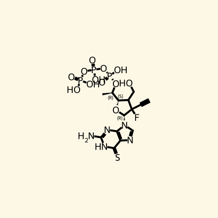 C#CC1(F)C(CO)[C@@H]([C@@H](C)OP(=O)(O)OP(=O)(O)OP(=O)(O)O)O[C@H]1n1cnc2c(=S)[nH]c(N)nc21